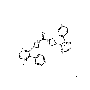 O=C(N1CC(c2nccnc2-c2ccncc2)C1)N1CC(c2nccnc2-c2ccncc2)C1